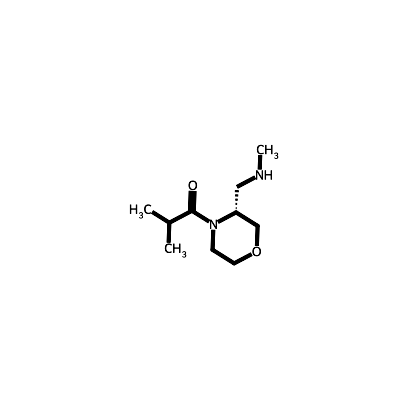 CNC[C@@H]1COCCN1C(=O)C(C)C